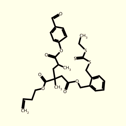 C=CCCOC(=O)C(C)(CC(=O)OCc1ccccc1CSC(=S)SCC)CC(C)C(=O)Oc1ccc(C=O)cc1